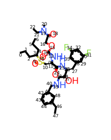 CCCC(CCC)S(=O)(=O)C[C@@H](NC(=O)OCC(=O)N(C)CC)C(=O)N[C@@H](Cc1cc(F)cc(F)c1)[C@H](O)CNCc1cccc(CC)c1